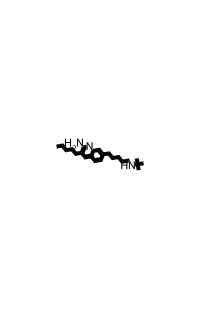 CCCCCc1cc2ccc(CCCCCNC(C)(C)C)cc2nc1N